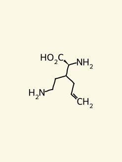 C=CCC(CCN)[C@H](N)C(=O)O